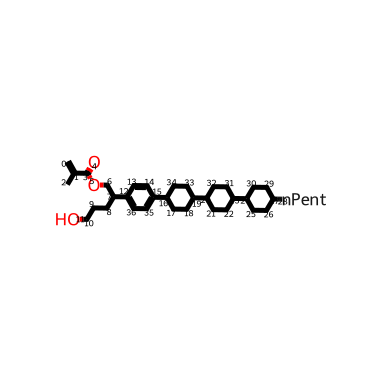 C=C(C)C(=O)OCC(CCCO)c1ccc(C2CCC(C3CCC(C4CCC(CCCCC)CC4)CC3)CC2)cc1